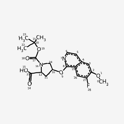 COc1cc2ccnc(OC3CC(C(=O)O)N(C(=O)OC(C)(C)C)C3)c2cc1F